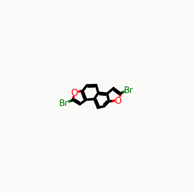 Brc1cc2c(ccc3c4cc(Br)oc4ccc23)o1